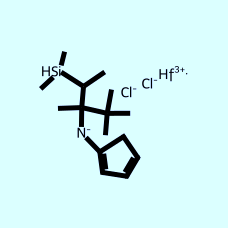 CC([SiH](C)C)C(C)([N-]C1=CC=CC1)C(C)(C)C.[Cl-].[Cl-].[Hf+3]